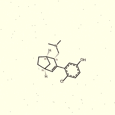 CN(C)C[C@@H]1C(c2cc(O)ccc2Cl)=C[C@H]2CC[C@@H]1C2